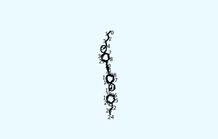 CCCCCOc1ccc(C#Cc2ccc(OC[C@H]3CC[C@H](CCC)CC3)cc2)cc1